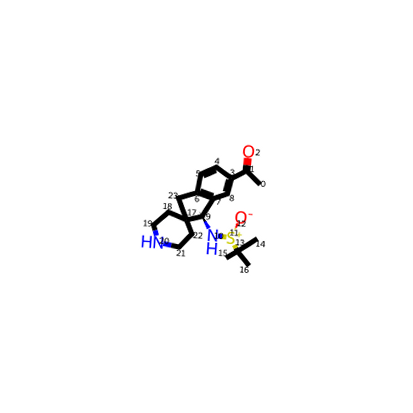 CC(=O)c1ccc2c(c1)[C@@H](N[S@+]([O-])C(C)(C)C)C1(CCNCC1)C2